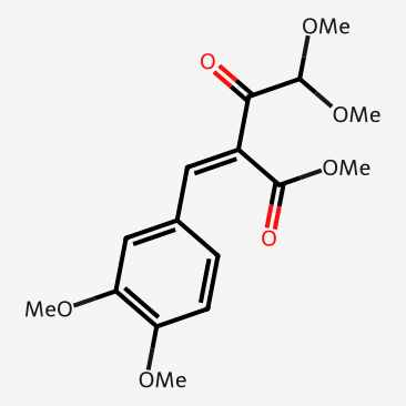 COC(=O)/C(=C\c1ccc(OC)c(OC)c1)C(=O)C(OC)OC